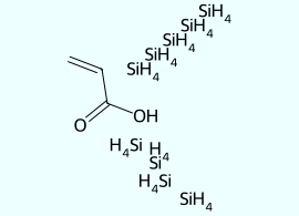 C=CC(=O)O.[SiH4].[SiH4].[SiH4].[SiH4].[SiH4].[SiH4].[SiH4].[SiH4].[SiH4]